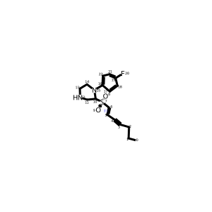 CCCC#C/C=C/S(=O)(=O)C1CNCCN1c1ccc(F)cc1